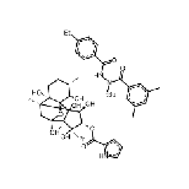 CC(C)[C@@]1(O)[C@@H](OC(=O)c2ccc[nH]2)[C@@]2(O)[C@@]3(C)C[C@]4(O)O[C@@]5([C@H](O)[C@@H](C)CC[C@]35O)[C@@]2(O)[C@@]14C.CCc1ccc(C(=O)NN(C(=O)c2cc(C)cc(C)c2)C(C)(C)C)cc1